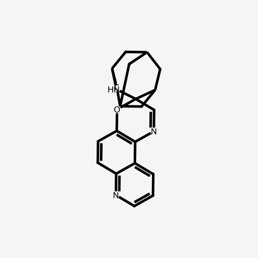 C1=Nc2c(ccc3ncccc23)OC12NC1CC3CC(C1)CC2C3